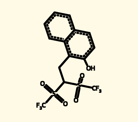 O=S(=O)(C(Cc1c(O)ccc2ccccc12)S(=O)(=O)C(F)(F)F)C(F)(F)F